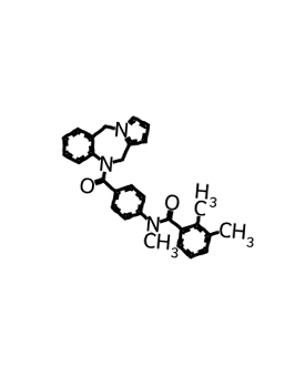 Cc1cccc(C(=O)N(C)c2ccc(C(=O)N3Cc4cccn4Cc4ccccc43)cc2)c1C